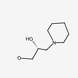 [O]C[C@H](O)CN1CCCCC1